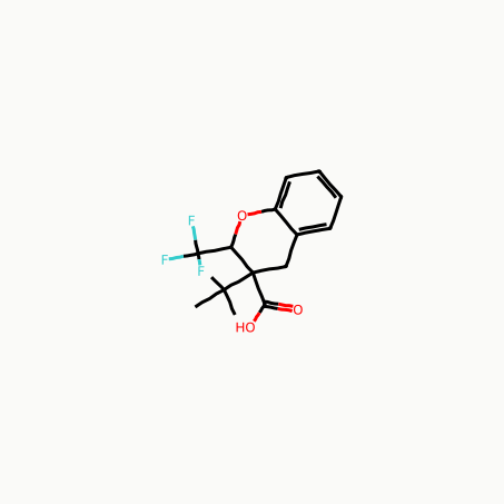 CC(C)(C)C1(C(=O)O)Cc2ccccc2OC1C(F)(F)F